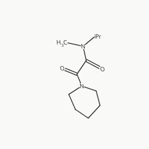 CC(C)N(C)C(=O)C(=O)N1CCCCC1